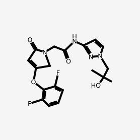 CC(C)(O)Cn1ccc(NC(=O)CN2CC(Oc3c(F)cccc3F)=CC2=O)n1